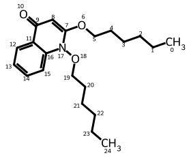 CCCCCCOc1cc(=O)c2ccccc2n1OCCCCCC